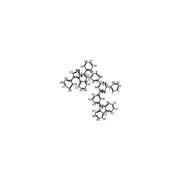 c1ccc(-c2nc(-c3cccc(-c4c(-c5ccccc5)n5ncc(-c6ccccc6)c5c5ccccc45)c3)cc(-c3cccc(-n4c5ccccc5c5ccccc54)c3)n2)cc1